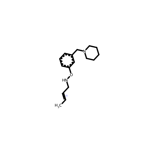 C/C=C/CNOc1cccc(CN2CCCCC2)c1